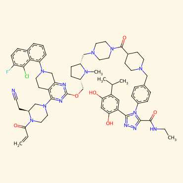 C=CC(=O)N1CCN(c2nc(OC[C@@H]3CC[C@H](CN4CCN(C(=O)C5CCN(Cc6ccc(-n7c(C(=O)NCC)nnc7-c7cc(C(C)C)c(O)cc7O)cc6)CC5)CC4)N3C)nc3c2CCN(c2cccc4ccc(F)c(Cl)c24)C3)C[C@@H]1CC#N